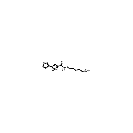 O=C(NCCCCCCO)c1cc(-c2ccsc2)on1